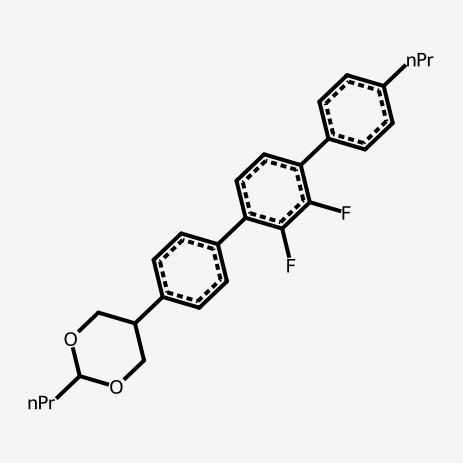 CCCc1ccc(-c2ccc(-c3ccc(C4COC(CCC)OC4)cc3)c(F)c2F)cc1